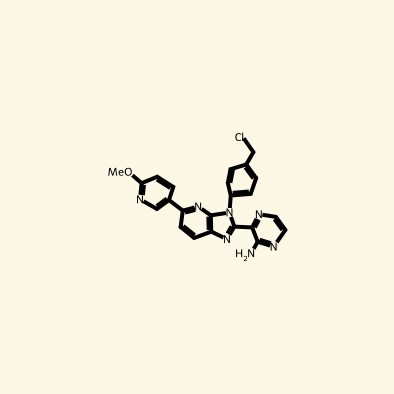 COc1ccc(-c2ccc3nc(-c4nccnc4N)n(-c4ccc(CCl)cc4)c3n2)cn1